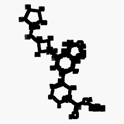 CC(C)(C)OC(=O)N1CCC=C(c2cc(N3CC(CN4CCCC4)C3)c3nonc3c2)C1